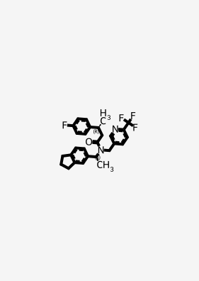 C[C@H](CC(=O)N(Cc1ccc(C(F)(F)F)nc1)[C@@H](C)c1ccc2c(c1)CCC2)c1ccc(F)cc1